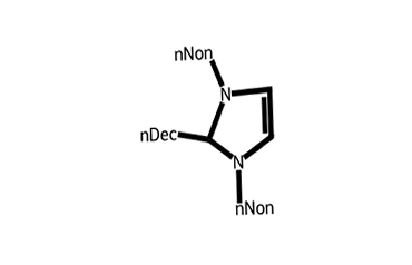 CCCCCCCCCCC1N(CCCCCCCCC)C=CN1CCCCCCCCC